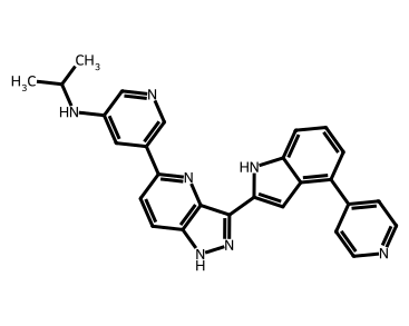 CC(C)Nc1cncc(-c2ccc3[nH]nc(-c4cc5c(-c6ccncc6)cccc5[nH]4)c3n2)c1